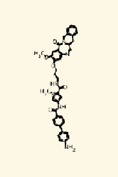 COc1cc2c(cc1OCCCNC(=O)c1cc(NC(=O)c3ccc(-c4ccc(N)cc4)cc3)cn1C)N=CC1Cc3ccccc3CN1C2=O